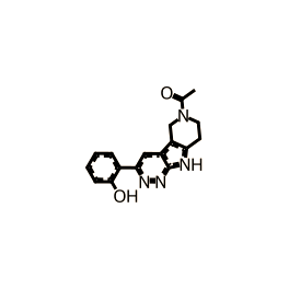 CC(=O)N1CCc2[nH]c3nnc(-c4ccccc4O)cc3c2C1